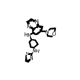 c1cnc(NC2CCC(Nc3cc(N4CCOCC4)cc4nccnc34)CC2)nc1